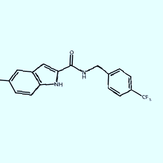 O=C(NCc1ccc(C(F)(F)F)cc1)c1cc2cc(F)ccc2[nH]1